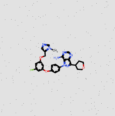 Cn1cncc1COc1cc(F)cc(Oc2ccc(-n3nc(C4CCOCC4)c4ncnc(N)c43)cc2)c1